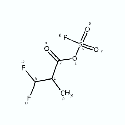 CC(C(=O)OS(=O)(=O)F)C(F)F